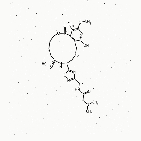 COc1cc(O)c2c(c1C)C(=O)OCCCCC(=O)N[C@H](c1nc(CNC(=O)CN(C)C)no1)CSC2.Cl